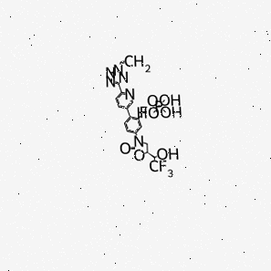 C=Cn1nnc(-c2ccc(-c3ccc(N4C[C@@H](C(O)C(F)(F)F)OC4=O)cc3F)cn2)n1.O=P(O)(O)O